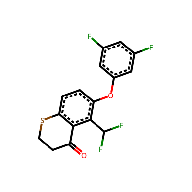 O=C1CCSc2ccc(Oc3cc(F)cc(F)c3)c(C(F)F)c21